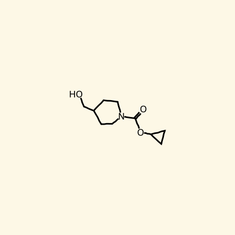 O=C(OC1CC1)N1CCC(CO)CC1